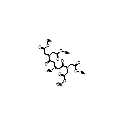 CCCCN(CC(=O)N(CC(=O)OC(C)(C)C)CC(=O)OC(C)(C)C)CC(=O)N(CC(=O)OC(C)(C)C)CC(=O)OC(C)(C)C